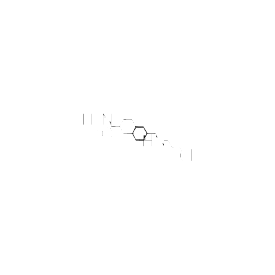 NC(=O)C1CCc2cc(CNCCCCl)ccc2C1